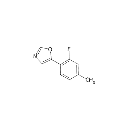 Cc1ccc(-c2cnco2)c(F)c1